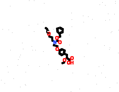 CCCOCCCN(CCOc1ccc(CC(OCC)C(=O)O)cc1)C(=O)OCc1ccccc1